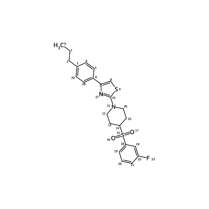 CCCc1ccc(-c2csc(N3CCC(S(=O)(=O)c4cccc(F)c4)CC3)n2)cc1